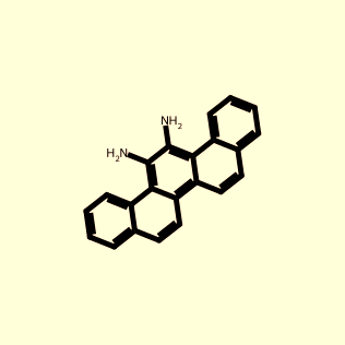 Nc1c(N)c2c3ccccc3ccc2c2ccc3ccccc3c12